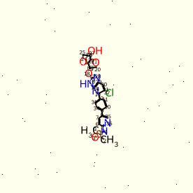 CS(C)(=O)=Nc1ccc(-c2ccc(-c3nc4[nH]c(O[C@@H]5COC6C5OC[C@H]6O)nc4cc3Cl)cc2)cn1